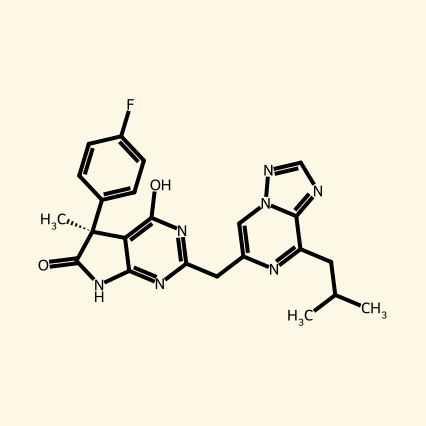 CC(C)Cc1nc(Cc2nc(O)c3c(n2)NC(=O)[C@@]3(C)c2ccc(F)cc2)cn2ncnc12